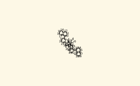 CC[Si]1(CC)C2=Cc3c(-c4cccc5ccccc45)cccc3[CH]2[Hf]([CH3])([CH3])[CH]2C1=Cc1c(-c3cccc4ccccc34)cccc12